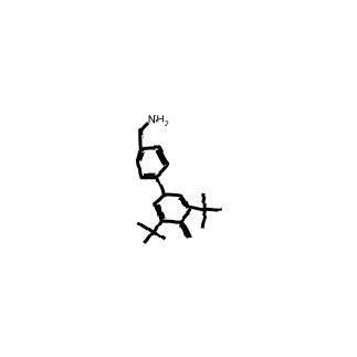 C=C1C(C(C)(C)C)=CC(c2ccc(CN)cc2)C=C1C(C)(C)C